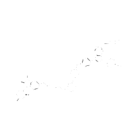 Cn1c(=O)n(C2CCC(=O)NC2=O)c2ccc(CCCOCCN3CCCC(N4CCN(Cc5ccc(-c6cn([C@H]7CC[C@H](O)CC7)c7nc(NCCC(F)(F)F)ncc67)cc5)CC4)C3)cc21